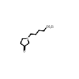 CCOC(=O)CCCCN1CCC(=O)C1